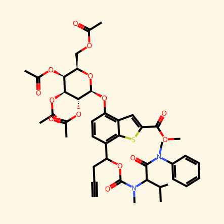 C#CCC(OC(=O)N(C)C(C(=O)N(C)c1ccccc1)C(C)C)c1ccc(O[C@@H]2O[C@H](COC(C)=O)[C@H](OC(C)=O)[C@H](OC(C)=O)[C@H]2OC(C)=O)c2cc(C(=O)OC)sc12